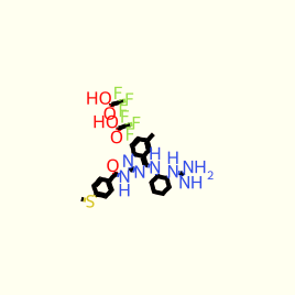 CSc1ccc(C(=O)Nc2nc(NC3CCCCC3NC(=N)N)c3cc(C)ccc3n2)cc1.O=C(O)C(F)(F)F.O=C(O)C(F)(F)F